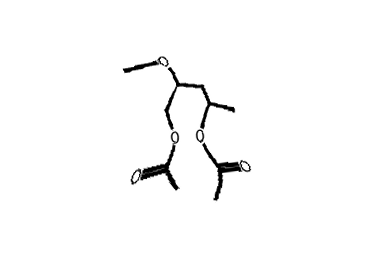 CO[C@H](COC(C)=O)CC(C)OC(C)=O